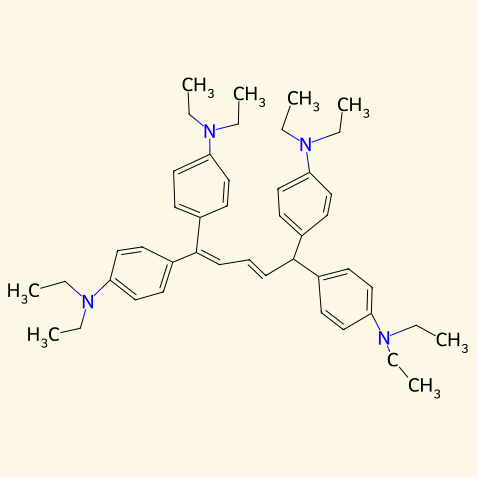 CCN(CC)c1ccc(C(=CC=CC(c2ccc(N(CC)CC)cc2)c2ccc(N(CC)CC)cc2)c2ccc(N(CC)CC)cc2)cc1